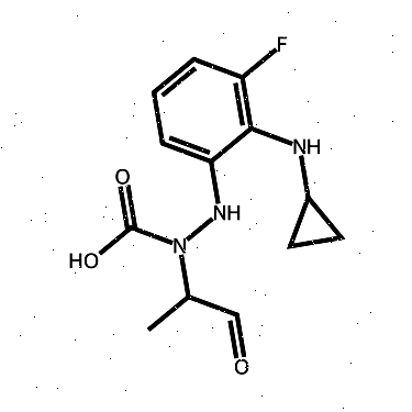 CC(C=O)N(Nc1cccc(F)c1NC1CC1)C(=O)O